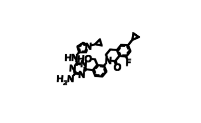 Nc1nc(Nc2ccn(C3CC3)c2)nc(-c2cccc(N3CCc4cc(C5CC5)cc(F)c4C3=O)c2CO)n1